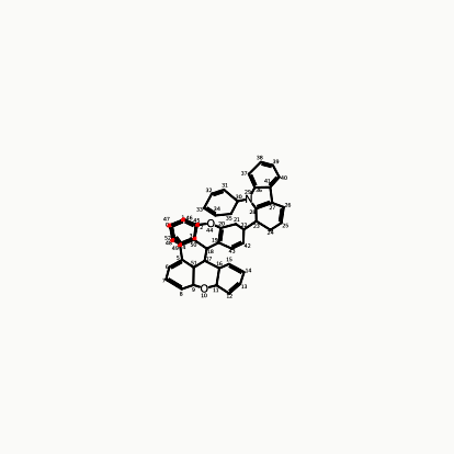 C1=CCCC(C2=CC=CC3OC4C=CC=CC4C(C4C5=C(CC(C6CC=Cc7c6n(C6C=CC=CC6)c6ccccc76)C=C5)Oc5ccccc54)C23)=C1